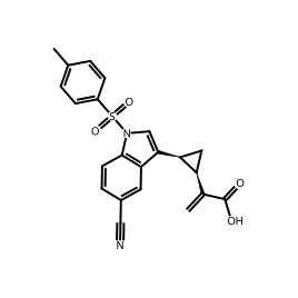 C=C(C(=O)O)[C@@H]1C[C@@H]1c1cn(S(=O)(=O)c2ccc(C)cc2)c2ccc(C#N)cc12